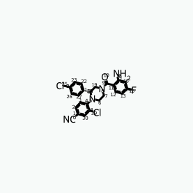 N#Cc1ccc(N2CCN(C(=O)c3ccc(F)cc3N)C[C@H]2c2ccc(Cl)cc2)c(Cl)c1